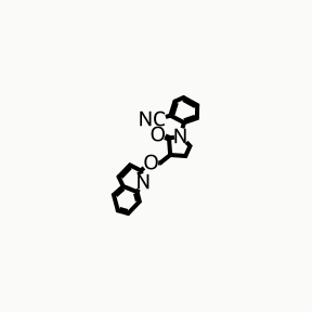 N#Cc1ccccc1N1CCC(COc2ccc3ccccc3n2)C1=O